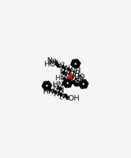 CN(CCO)c1nc(Nc2ccccc2)nc(Nc2ccc(C=Cc3ccccc3S(=O)(=O)O)c(S(=O)(=O)O)c2Nc2nc(Nc3ccccc3)nc(N(C)CCO)n2)n1.[Na].[Na]